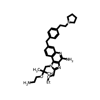 CCOCc1nc2c(N)nc3cc(Cc4ccc(CCN5CCCC5)cc4)ccc3c2n1CC(C)(C)OCCN